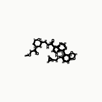 COCC(=O)N1CCOC(CNC(=O)c2c[nH]c3c(-c4c(OCC5CC5)ccc5c4OCO5)ncnc23)C1